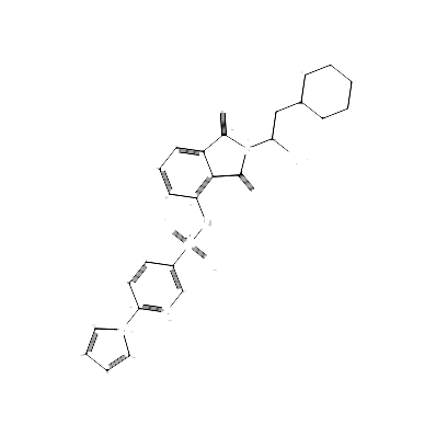 CC(CC1CCCCC1)N1C(=O)c2cccc(NS(=O)(=O)c3ccc(-n4cccc4)nc3)c2C1=O